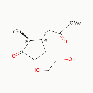 CCCC[C@@H]1C(=O)CC[C@H]1CC(=O)OC.OCCO